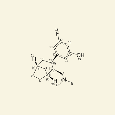 CN(C)C[C@H]1[C@@H]2CC[C@@H](C2)C[C@H]1c1cc(O)cc(F)c1